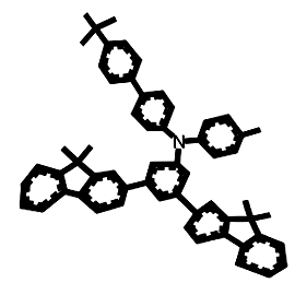 Cc1ccc(N(c2ccc(-c3ccc(C(C)(C)C)cc3)cc2)c2cc(-c3ccc4c(c3)C(C)(C)c3ccccc3-4)cc(-c3ccc4c(c3)C(C)(C)c3ccccc3-4)c2)cc1